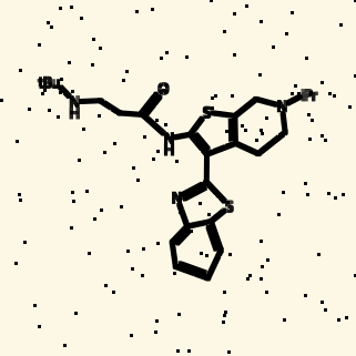 CC(C)N1CCc2c(sc(NC(=O)CCNC(C)(C)C)c2-c2nc3ccccc3s2)C1